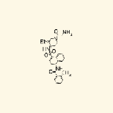 CC[C@H]1CN(C(=O)CN)CC[C@@H]1NS(=O)(=O)c1ccc(NC(=O)c2ccccc2C)c2ccccc12